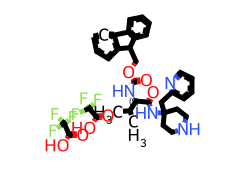 CC(C)[C@H](NC(=O)OCC1c2ccccc2-c2ccccc21)C(=O)NC1(Cc2ccccn2)CCNCC1.O=C(O)C(F)(F)F.O=C(O)C(F)(F)F